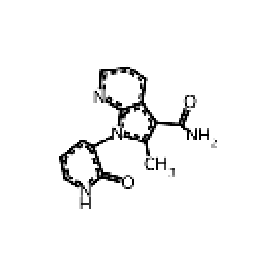 Cc1c(C(N)=O)c2cccnc2n1-c1ccc[nH]c1=O